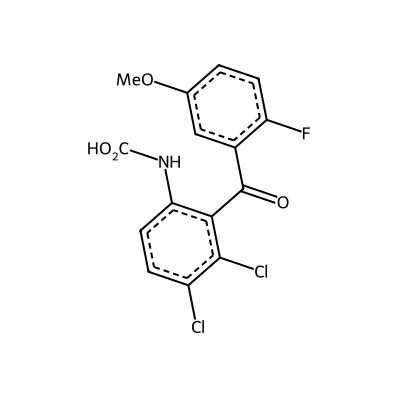 COc1ccc(F)c(C(=O)c2c(NC(=O)O)ccc(Cl)c2Cl)c1